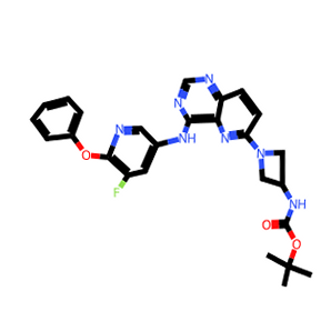 CC(C)(C)OC(=O)NC1CN(c2ccc3ncnc(Nc4cnc(Oc5ccccc5)c(F)c4)c3n2)C1